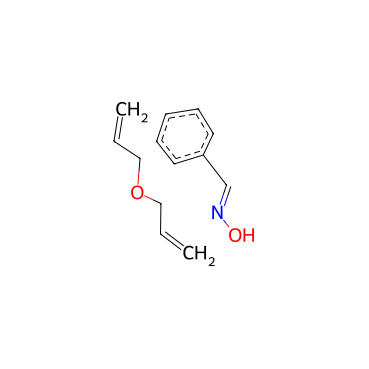 C=CCOCC=C.ON=Cc1ccccc1